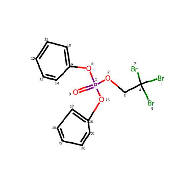 O=P(OCC(Br)(Br)Br)(Oc1ccccc1)Oc1ccccc1